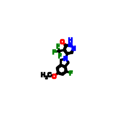 COc1cc(F)c2c(c1)CN(c1cn[nH]c(=O)c1C(F)(F)F)C2